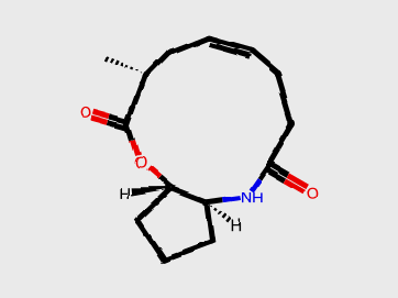 C[C@@H]1CC=CCCC(=O)N[C@H]2CCC[C@@H]2OC1=O